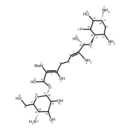 CN/C(=C(/O)CC/C=C(\N)[C@H](O)O[C@@H]1C(N)C[C@@H](N)C(O)C1F)C(O)O[C@H]1OC(CO)[C@@H](N)C(O)C1O